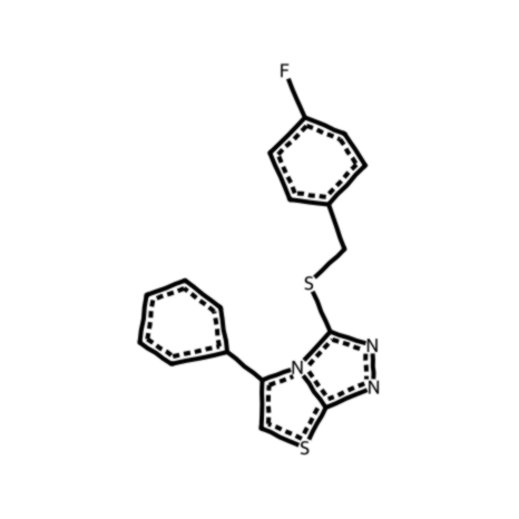 Fc1ccc(CSc2nnc3scc(-c4ccccc4)n23)cc1